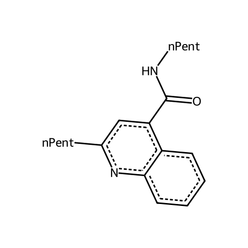 CCCCCNC(=O)c1cc(CCCCC)nc2ccccc12